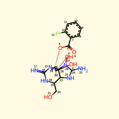 C[C@]1(O)[C@@H](OC(=O)c2ccccc2F)CN2C(=N)NC(CO)C3NC(N)N(O)C321